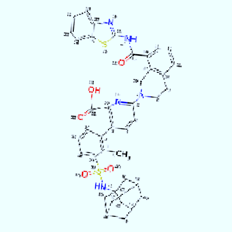 Cc1c(-c2ccc(N3CCc4cccc(C(=O)Nc5nc6ccccc6s5)c4C3)nc2C(=O)O)cccc1S(=O)(=O)NC12CC3CC(CC(C3)C1)C2